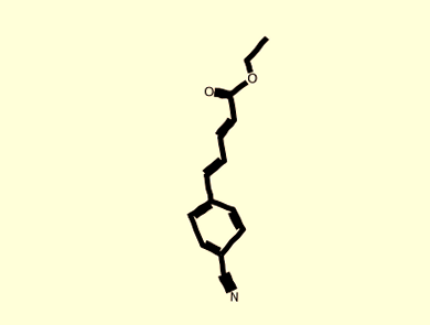 CCOC(=O)C=CC=Cc1ccc(C#N)cc1